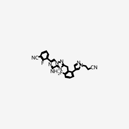 N#CCCn1cc(-c2cccc(F)c2Cc2nc3c(N)nc(-c4cccc(C#N)c4F)cn3n2)cn1